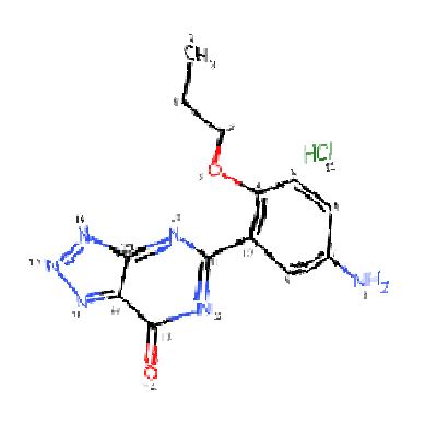 CCCOc1ccc(N)cc1C1=NC(=O)C2=NN=NC2=N1.Cl